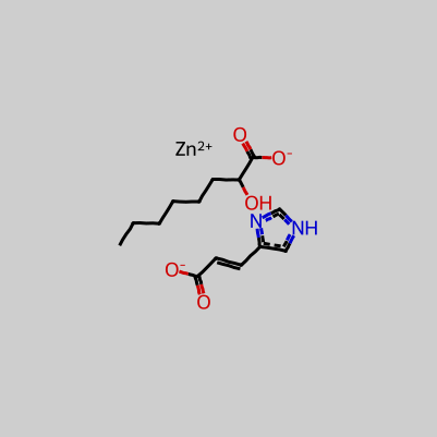 CCCCCCC(O)C(=O)[O-].O=C([O-])C=Cc1c[nH]cn1.[Zn+2]